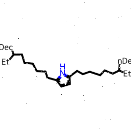 CCCCCCCCCCC(CC)CCCCCCc1ccc(CCCCCCC(CC)CCCCCCCCCC)[nH]1